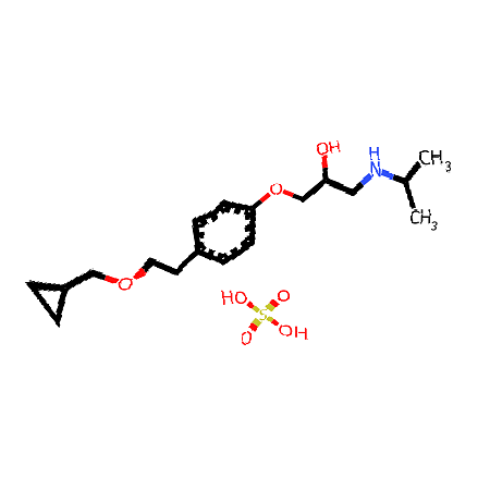 CC(C)NCC(O)COc1ccc(CCOCC2CC2)cc1.O=S(=O)(O)O